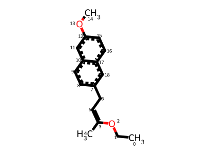 CCOC(C)=CCc1ccc2cc(OC)ccc2c1